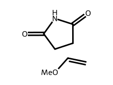 C=COC.O=C1CCC(=O)N1